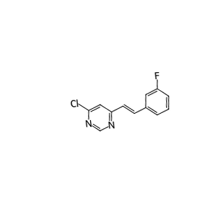 Fc1cccc(/C=C/c2cc(Cl)ncn2)c1